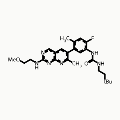 COCCNc1ncc2cc(-c3cc(NC(=O)NCCC(C)(C)C)c(F)cc3C)c(C)nc2n1